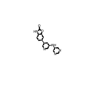 O=c1[nH]c2ccc(-c3cncc(Nc4cncnc4)c3)cc2o1